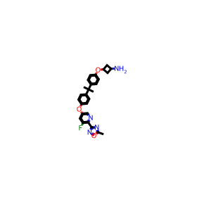 Cc1nc(-c2ncc(Oc3ccc(C(C)(C)c4ccc(OC5CC(N)C5)cc4)cc3)cc2F)no1